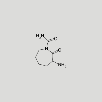 NC(=O)N1CCCCC(N)C1=O